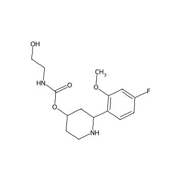 COc1cc(F)ccc1C1CC(OC(=O)NCCO)CCN1